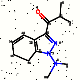 CC(C)C(=O)c1nn(N(C)C)c2c1C=CCC2